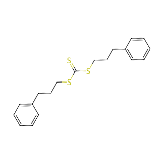 S=C(SCCCc1ccccc1)SCCCc1ccccc1